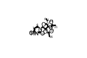 CC[C@H]1O[C@@H](n2ccc(=O)[nH]c2=O)[C@@H](OC(C)=O)C1OC(C)=O